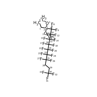 CC[Si](OC)(OC)C(F)(F)C(F)(F)C(F)(F)C(F)(F)C(F)(F)C(F)(F)C(F)(F)CCC(F)(F)F